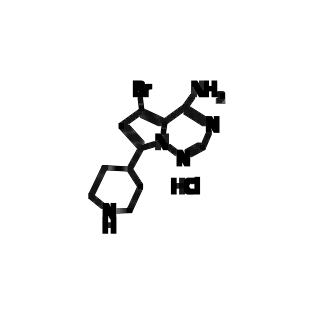 Cl.Nc1ncnn2c(C3CCNCC3)cc(Br)c12